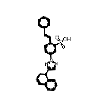 O=S(=O)(O)c1cc(-n2ncc(C3CC=Cc4ccccc43)n2)ccc1C=Cc1ccccc1